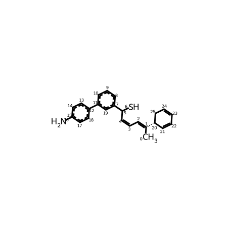 C/C(=C\C=C/C(S)c1cccc(-c2ccc(N)cc2)c1)[C@H]1C=CC=CC1